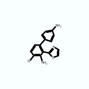 Nc1ccc(-c2ccc(Cl)c(N)c2-c2nccs2)cc1